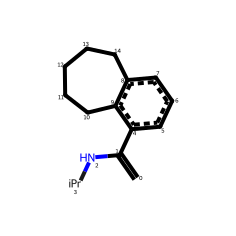 C=C(NC(C)C)c1cccc2c1CCCCC2